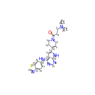 CCN(CC)CCC(=O)N1CC=C(c2cc3c(Nc4ccc5ncsc5c4)ncnc3[nH]2)CC1